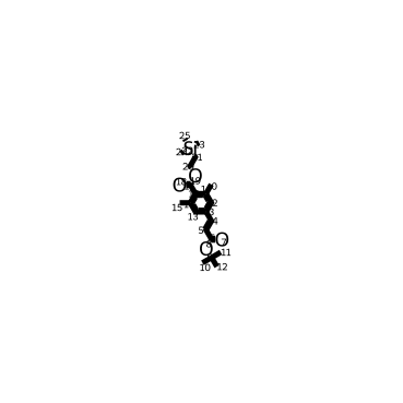 Cc1cc(/C=C/C(=O)OC(C)(C)C)cc(C)c1C(=O)OCC[Si](C)(C)C